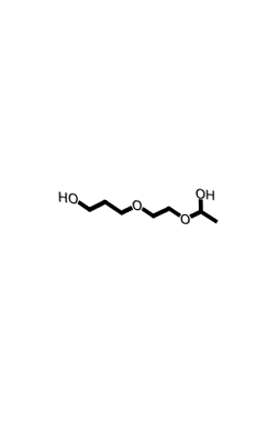 CC(O)OCCOCCCO